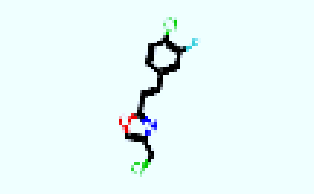 Fc1cc(C=Cc2nc(CCl)co2)ccc1Cl